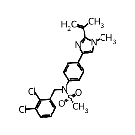 C=C(C)c1nc(-c2ccc(N(Cc3cccc(Cl)c3Cl)S(C)(=O)=O)cc2)cn1C